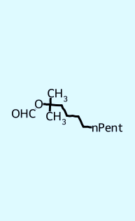 CCCCCCCCCC(C)(C)OC=O